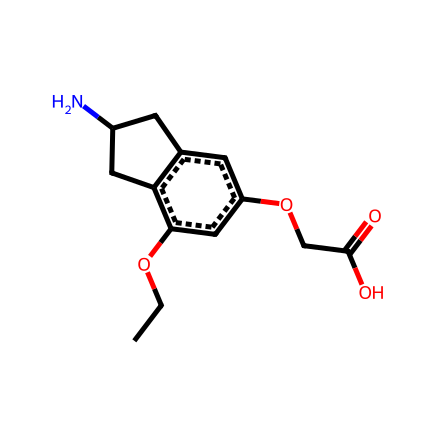 CCOc1cc(OCC(=O)O)cc2c1CC(N)C2